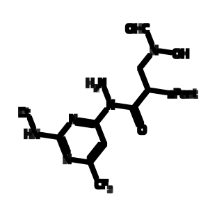 CCCCCC(CN(O)C=O)C(=O)N(N)c1cc(C(F)(F)F)nc(NCC)n1